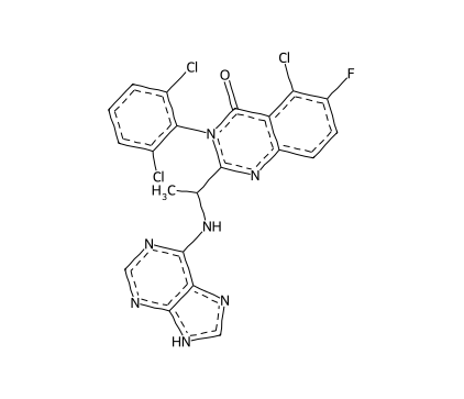 CC(Nc1ncnc2[nH]cnc12)c1nc2ccc(F)c(Cl)c2c(=O)n1-c1c(Cl)cccc1Cl